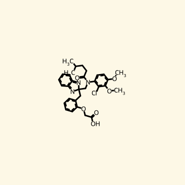 COc1ccc(N(CC2(Cc3ccccc3OCC(=O)O)N=c3ccccc3=N2)C(=O)CCC(C)C)c(Cl)c1OC